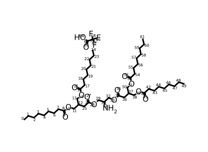 CCCCCCCCC(=O)OCC(COC(=O)CCCCCCCC)CC(=O)OCC(N)COC(=O)CC(COC(=O)CCCCCCCC)COC(=O)CCCCCCCC.O=C(O)C(F)(F)F